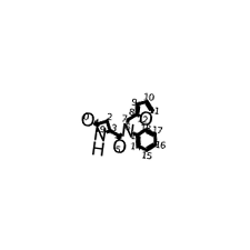 O=C1CC(C(=O)N(Cc2ccco2)c2ccccc2)N1